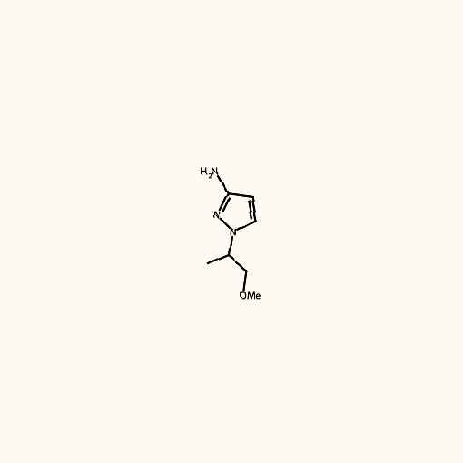 COCC(C)n1ccc(N)n1